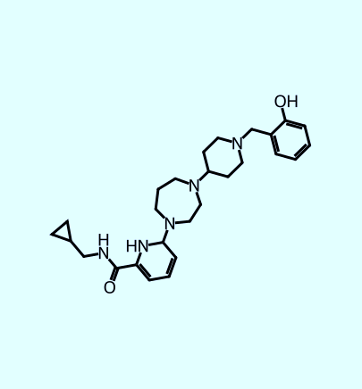 O=C(NCC1CC1)C1=CC=CC(N2CCCN(C3CCN(Cc4ccccc4O)CC3)CC2)N1